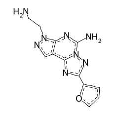 NCCn1ncc2c1nc(N)n1nc(-c3ccco3)nc21